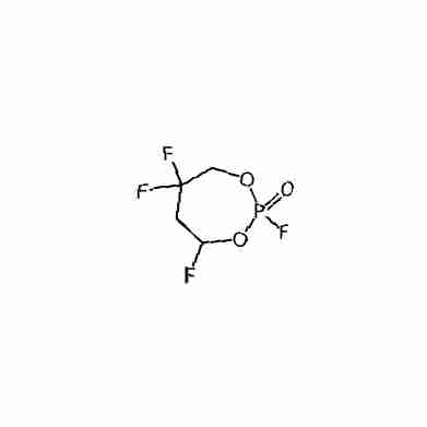 O=P1(F)OCC(F)(F)CC(F)O1